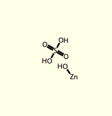 O=S(=O)(O)O.[OH][Zn]